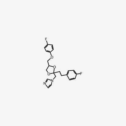 Fc1ccc(CCC2(Cn3ccnc3)OCC(COc3ccc(F)cc3)O2)cc1